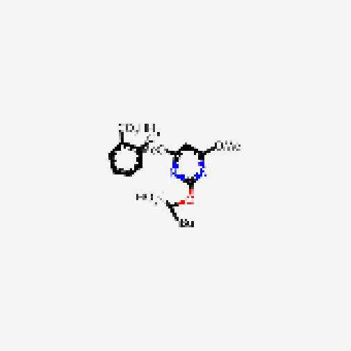 CCC(C)C(Oc1nc(OC)cc(OC)n1)C(=O)O.Cc1ccccc1C(=O)O